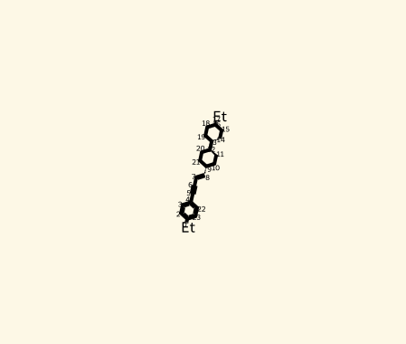 CCc1ccc(C#CC=C[C@H]2CC[C@H]([C@H]3CC[C@H](CC)CC3)CC2)cc1